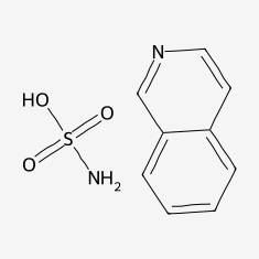 NS(=O)(=O)O.c1ccc2cnccc2c1